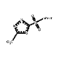 CCCCCS(=O)(=O)c1nnc(C(Cl)(Cl)Cl)s1